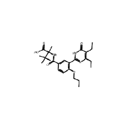 CCCOc1ccc(C(=O)NC(C)(C(=O)O)C(C)(C)C)cc1-c1nc(CC)c(CC)c(=O)[nH]1